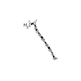 B=BB=BB=BB=BOC